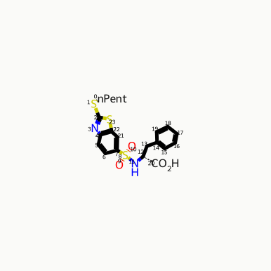 CCCCCSc1nc2ccc(S(=O)(=O)N[C@H](Cc3ccccc3)C(=O)O)cc2s1